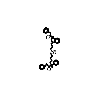 CC(CCCCC[S+]([O-])CCCCCC(C)(C(=O)Cc1ccccc1)c1ccccc1)(C(=O)Cc1ccccc1)c1ccccc1